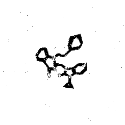 O=c1nc(Cn2c(=O)n(C3CC3)c3ccncc32)n(CCc2ccccc2)c2ccccc12